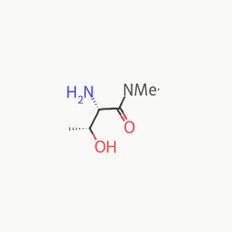 C[N]C(=O)[C@@H](N)[C@@H](C)O